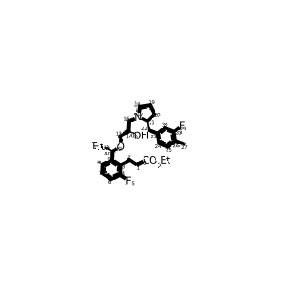 CCOC(=O)CCc1c(F)cccc1[C@@H](CC)OC[C@H](O)CN1CCC[C@H]1Cc1ccc(C)c(F)c1